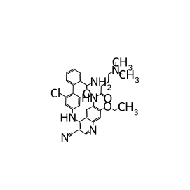 CCOc1cc2ncc(C#N)c(Nc3ccc(-c4ccccc4C(N)=O)c(Cl)c3)c2cc1NC(=O)CCCN(C)C